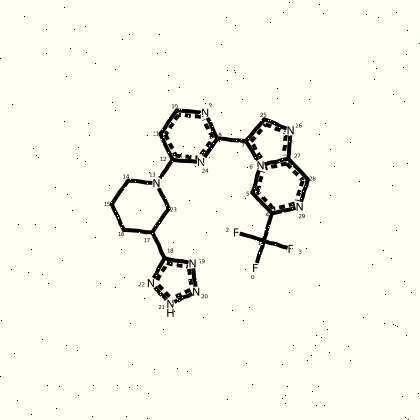 FC(F)(F)c1cn2c(-c3nccc(N4CCCC(c5nn[nH]n5)C4)n3)cnc2cn1